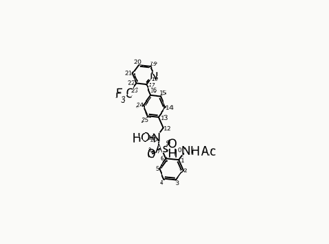 CC(=O)Nc1ccccc1[As](=O)(O)N(O)Cc1ccc(-c2ncccc2C(F)(F)F)cc1